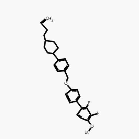 C=CCCC1CCC(c2ccc(COc3ccc(-c4ccc(OCC)c(F)c4F)cc3)cc2)CC1